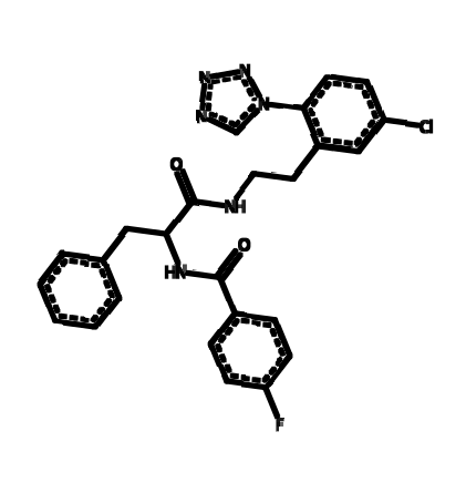 O=C(NC(Cc1ccccc1)C(=O)NCCc1cc(Cl)ccc1-n1cnnn1)c1ccc(F)cc1